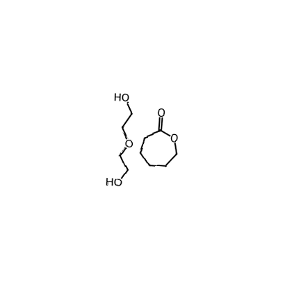 O=C1CCCCCO1.OCCOCCO